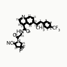 C/C(=C\c1ccc(C(F)(F)F)cc1)c1ccc2nccc(C(=O)NCC(=O)N3CC(F)(F)CC3C#N)c2c1